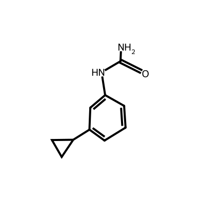 NC(=O)Nc1cccc(C2CC2)c1